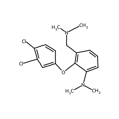 CN(C)Cc1cccc(N(C)C)c1Oc1ccc(Cl)c(Cl)c1